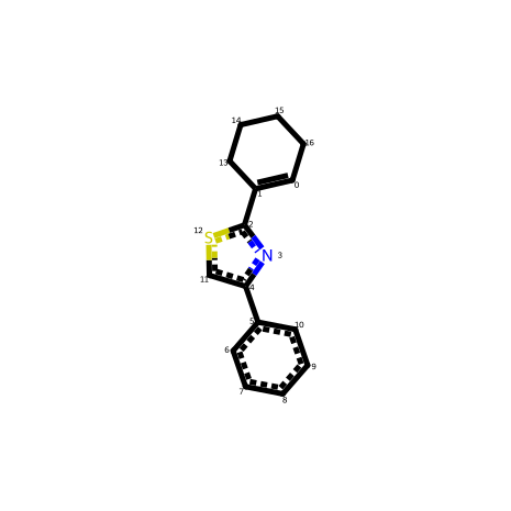 C1=C(c2nc(-c3ccccc3)cs2)CCCC1